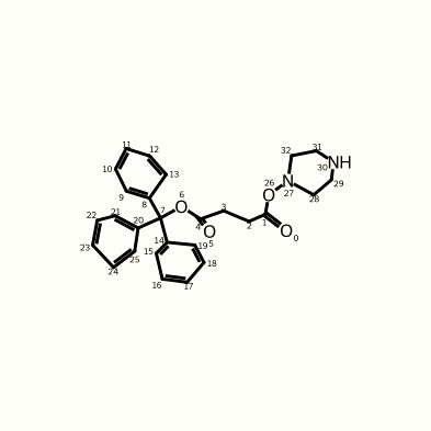 O=C(CCC(=O)OC(c1ccccc1)(c1ccccc1)c1ccccc1)ON1CCNCC1